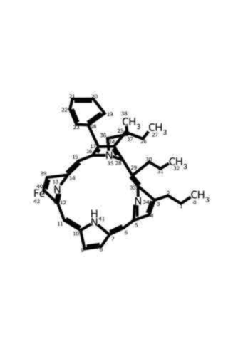 CCCC1=Cc2cc3ccc(cc4nc(cc5c(-c6ccccc6)c(CCC)c(c(CCC)c1n2)n5CCC)C=C4)[nH]3.[Fe]